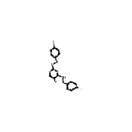 Oc1ccc(CNc2nc(OCc3ccc(F)cc3)ncc2F)cc1